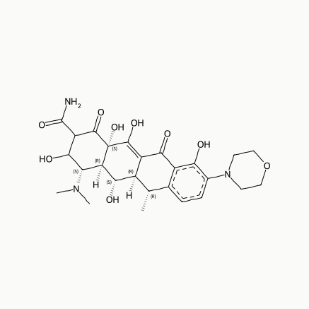 C[C@H]1c2ccc(N3CCOCC3)c(O)c2C(=O)C2=C(O)[C@]3(O)C(=O)C(C(N)=O)C(O)[C@@H](N(C)C)[C@@H]3[C@@H](O)[C@@H]21